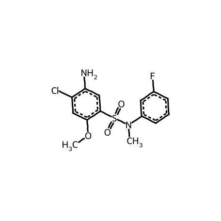 COc1cc(Cl)c(N)cc1S(=O)(=O)N(C)c1cccc(F)c1